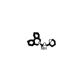 N=C(OCC1CCCCO1)N1Cc2ccccc2-c2ccccc2C1